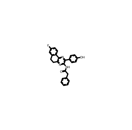 O=C(Cc1ccccc1)Nc1nc2c(nc1-c1ccc(O)cc1)-c1ccc(F)cc1CC2